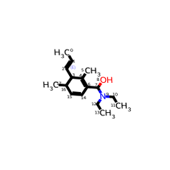 C/C=C/C1C(C)=C(C(O)N(CC)CC)C=CC1C